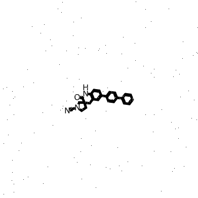 N#CN1CCC2(Cc3cc(-c4ccc(-c5ccccc5)cc4)ccc3NC2=O)C1